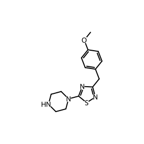 COc1ccc(Cc2nsc(N3CCNCC3)n2)cc1